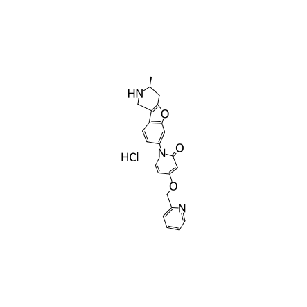 C[C@H]1Cc2oc3cc(-n4ccc(OCc5ccccn5)cc4=O)ccc3c2CN1.Cl